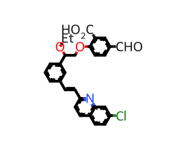 CCOC(COc1ccc(C=O)cc1C(=O)O)c1cccc(/C=C/c2ccc3ccc(Cl)cc3n2)c1